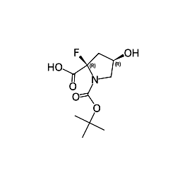 CC(C)(C)OC(=O)N1C[C@H](O)C[C@@]1(F)C(=O)O